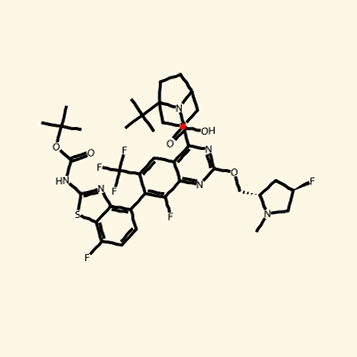 CN1C[C@H](F)C[C@H]1COc1nc(N2CC3CCC(C(C)(C)C)(C2)N3C(=O)O)c2cc(C(F)(F)F)c(-c3ccc(F)c4sc(NC(=O)OC(C)(C)C)nc34)c(F)c2n1